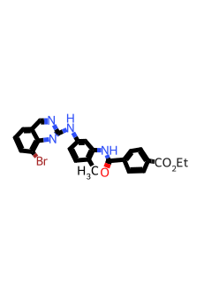 CCOC(=O)c1ccc(C(=O)Nc2cc(Nc3ncc4cccc(Br)c4n3)ccc2C)cc1